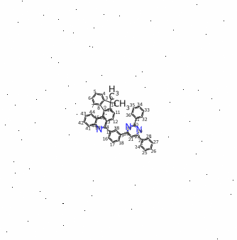 CC1(C)c2ccccc2-c2c1ccc1c(-c3cccc(-c4cc(-c5ccccc5)nc(-c5ccccc5)n4)c3)nc3ccccc3c21